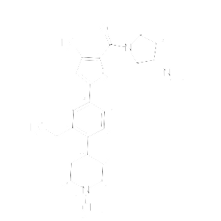 CCc1cc(-c2cc(C)c(C(=O)N3CC[C@H](N)C3)s2)ccc1C1CCN(C)CC1